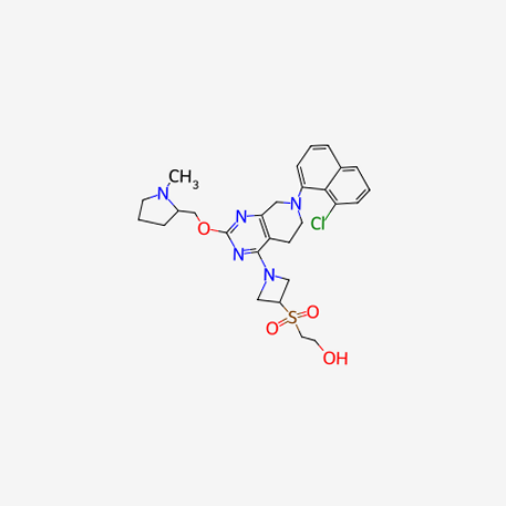 CN1CCCC1COc1nc2c(c(N3CC(S(=O)(=O)CCO)C3)n1)CCN(c1cccc3cccc(Cl)c13)C2